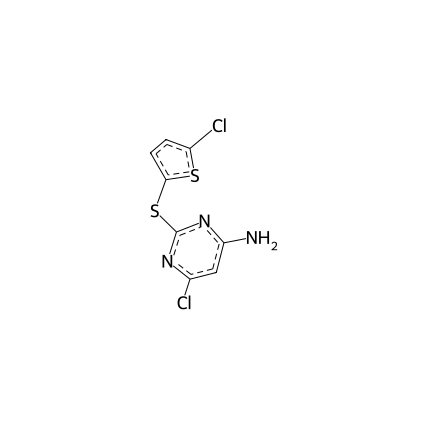 Nc1cc(Cl)nc(Sc2ccc(Cl)s2)n1